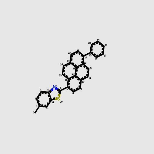 Cc1ccc2nc(-c3ccc4ccc5c(-c6ccccc6)ccc6ccc3c4c65)sc2c1